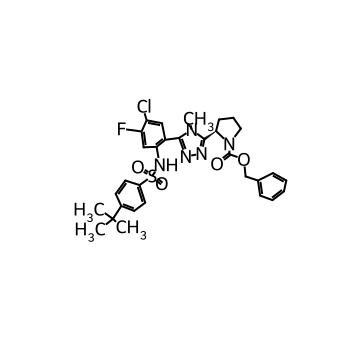 Cn1c(-c2cc(Cl)c(F)cc2NS(=O)(=O)c2ccc(C(C)(C)C)cc2)nnc1[C@H]1CCCN1C(=O)OCc1ccccc1